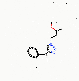 COC(C)CCn1cc([C@H](C)c2ccccc2)nn1